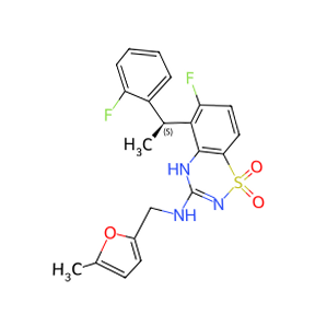 Cc1ccc(CNC2=NS(=O)(=O)c3ccc(F)c([C@@H](C)c4ccccc4F)c3N2)o1